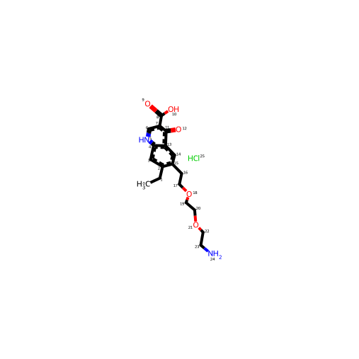 CCc1cc2[nH]cc(C(=O)O)c(=O)c2cc1CCOCCOCCN.Cl